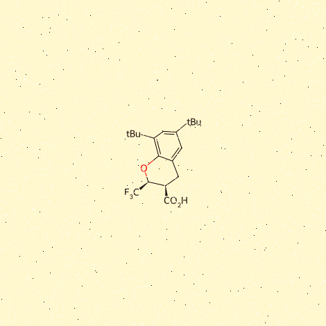 CC(C)(C)c1cc2c(c(C(C)(C)C)c1)O[C@H](C(F)(F)F)[C@H](C(=O)O)C2